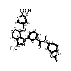 Cc1nc2ccc(N(C)C(=O)c3cccc(-n4nc(C(F)(F)F)c5c4C(Oc4ccc(C(=O)O)nc4)COC5)c3)cc2o1